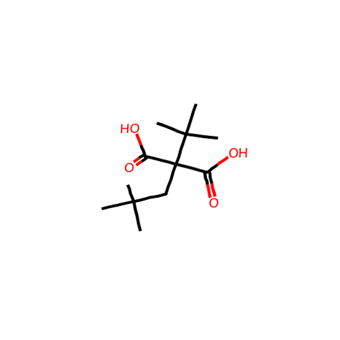 CC(C)(C)CC(C(=O)O)(C(=O)O)C(C)(C)C